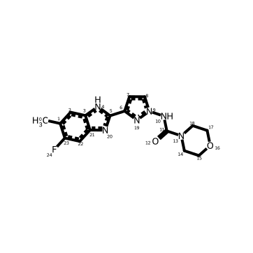 Cc1cc2[nH]c(-c3ccn(NC(=O)N4CCOCC4)n3)nc2cc1F